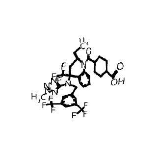 CCC1CC(N(Cc2cc(C(F)(F)F)cc(C(F)(F)F)c2)c2nnn(C)n2)(C(F)(F)F)c2ccccc2N1C(=O)C1CCC(C(=O)O)CC1